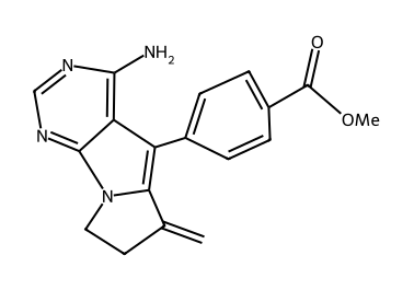 C=C1CCn2c1c(-c1ccc(C(=O)OC)cc1)c1c(N)ncnc12